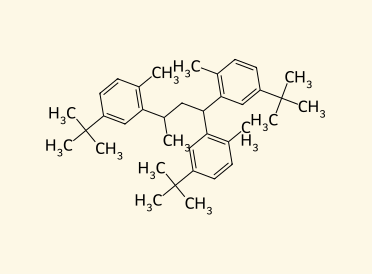 Cc1ccc(C(C)(C)C)cc1C(C)CC(c1cc(C(C)(C)C)ccc1C)c1cc(C(C)(C)C)ccc1C